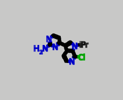 CC(C)n1cc(-c2ccnc(N)n2)c2ccnc(Cl)c21